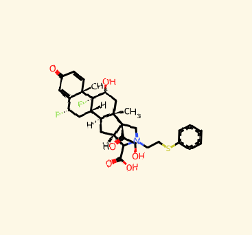 C[C@]12C=CC(=O)C=C1[C@@H](F)C[C@H]1[C@@H]3C[C@H]4C(C(=O)O)N(CCSc5ccccc5)C[C@@]4(C(=O)CO)[C@@]3(C)C[C@H](O)[C@@]12F